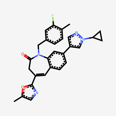 Cc1cnc(C2=Cc3ccc(-c4cnn(C5CC5)c4)cc3N(Cc3ccc(C)c(F)c3)C(=O)C2)o1